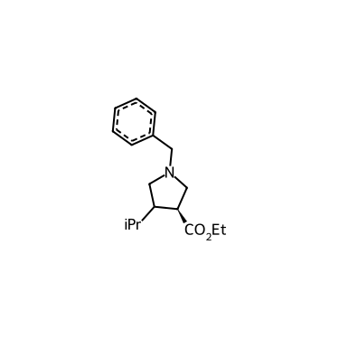 CCOC(=O)[C@@H]1CN(Cc2ccccc2)CC1C(C)C